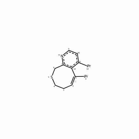 CC(C)/C1=C/CCSCc2nccc(C(C)C)c21